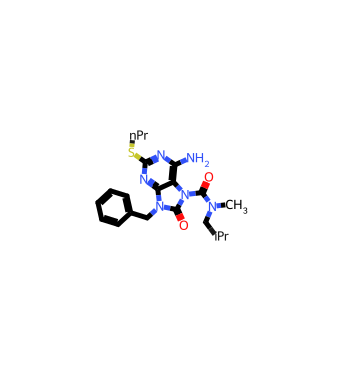 CCCSc1nc(N)c2c(n1)n(Cc1ccccc1)c(=O)n2C(=O)N(C)CC(C)C